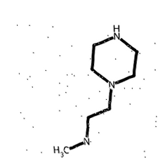 C[N]CCN1CCNCC1